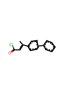 CC(=CC(=O)Cl)c1ccc(-c2ccccc2)cc1